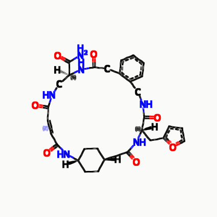 NC(=O)[C@@H]1CNC(=O)/C=C\C(=O)N[C@H]2CC[C@H](CC2)C(=O)N[C@@H](Cc2ccco2)C(=O)NCc2ccccc2CC(=O)N1